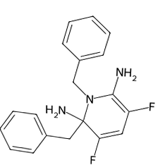 NC1=C(F)C=C(F)C(N)(Cc2ccccc2)N1Cc1ccccc1